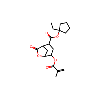 C=C(C)C(=O)OC1CC(C(=O)OC2(CC)CCCC2)C2CC1OC2=O